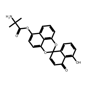 CC(C)(N)C(=O)Oc1ccc2c3c(cccc13)OC1(C=CC(=O)c3c(O)cccc31)O2